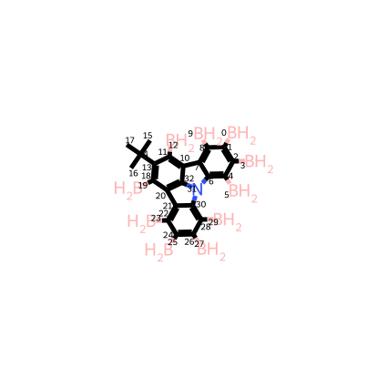 Bc1c(B)c(B)c2c(c1B)c1c(B)c(C(C)(C)C)c(B)c3c4c(B)c(B)c(B)c(B)c4n2c13